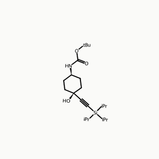 CC(C)[Si](C#C[C@]1(O)CC[C@@H](NC(=O)OC(C)(C)C)CC1)(C(C)C)C(C)C